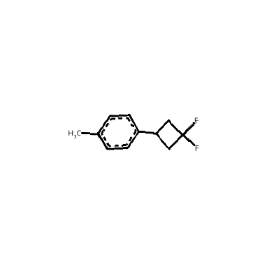 Cc1ccc(C2CC(F)(F)C2)cc1